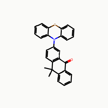 CC1(C)c2ccccc2C(=O)c2cc(N3c4ccccc4Sc4ccccc43)ccc21